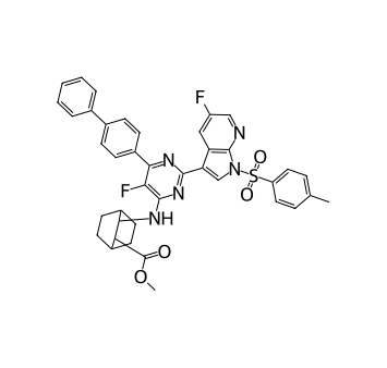 COC(=O)C1C2CCC(CC2)C1Nc1nc(-c2cn(S(=O)(=O)c3ccc(C)cc3)c3ncc(F)cc23)nc(-c2ccc(-c3ccccc3)cc2)c1F